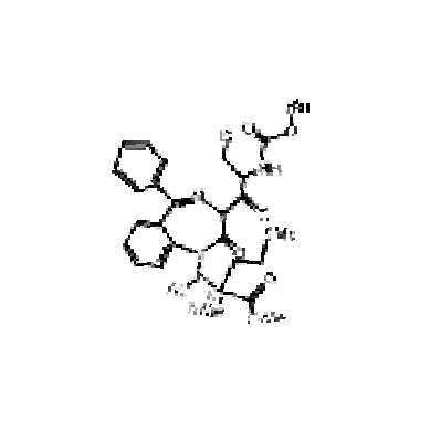 CN[C@](CCSC)(C(=O)OC)N(C(C)=O)N1C(=O)C(C(=O)C(CS)NC(=O)OC(C)(C)C)N=C(c2ccccc2)c2ccccc21